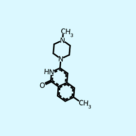 Cc1ccc2c(=O)[nH]c(N3CCN(C)CC3)cc2c1